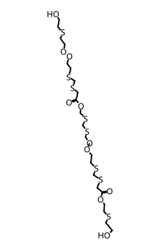 O=C(CSCSCCOOCSCSCOC(=O)CSCSCCOOCCSCCO)OCCSCCO